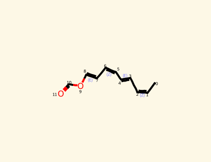 C\C=C/C=C/C=C\C=C\OC=O